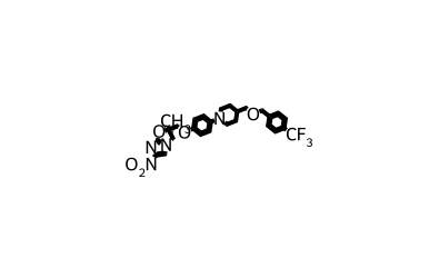 C[C@]1(COc2ccc(N3CCC(COCc4ccc(C(F)(F)F)cc4)CC3)cc2)Cn2cc([N+](=O)[O-])nc2O1